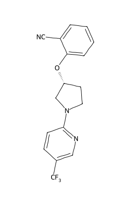 N#Cc1ccccc1O[C@@H]1CCN(c2ccc(C(F)(F)F)cn2)C1